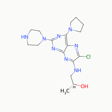 C[C@@H](O)CNc1nc2nc(N3CCNCC3)nc(N3CCCC3)c2nc1Cl